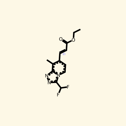 CCOC(=O)/C=C/c1ccn2c(C(F)F)nnc2c1C